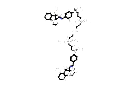 CN(CCC[N+](C)(C)CCSSCC[N+](C)(C)CCCN(C)c1ccc(/C=C/C23OCCN2C2=C(C=CCC2)C3(C)C)cc1)c1ccc(/C=C/C23OCCN2C2=C(C=CCC2)C3(C)C)cc1